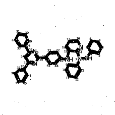 B(c1ccccc1)N(c1ccccc1)c1ncccc1Nc1ccc(-c2nc(-c3ccccc3)cc(-c3ccccc3)n2)cc1